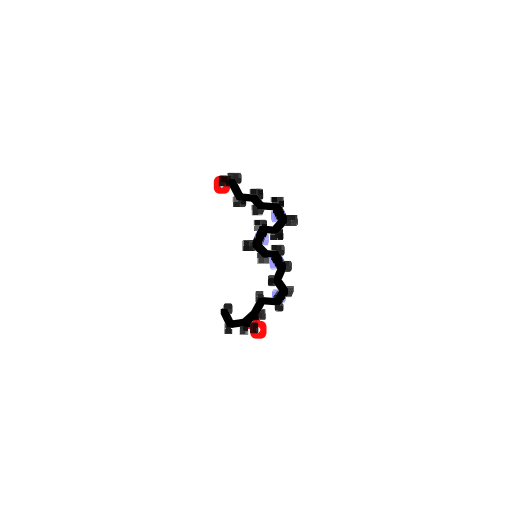 CCC1OC1C/C=C\C/C=C\C/C=C\C/C=C\CCCC=O